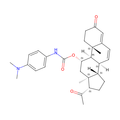 CC(=O)[C@H]1CC[C@H]2[C@@H]3C=CC4=CC(=O)CC[C@@]4(C)[C@@H]3[C@@H](OC(=O)Nc3ccc(N(C)C)cc3)C[C@]12C